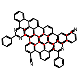 N#Cc1cccc(-c2ccc(-c3ccc(-c4ccccc4-c4nc(-c5ccccc5)nc(-c5ccc(-c6cccc7cccc(-c8ccccc8C#N)c67)cc5)n4)c4cccc(-c5ccc(-c6nc(-c7ccccc7)nc(-c7ccccc7)n6)cc5)c34)cc2)c1